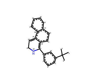 CC(C)(C)c1cccc(C2=c3ccc4ccccc4c3=CCN2)c1